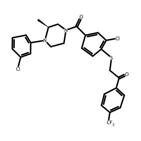 C[C@H]1CN(C(=O)c2ccc(SCC(=O)c3ccc(C(F)(F)F)cc3)c(Cl)c2)CCN1c1cccc(Cl)c1